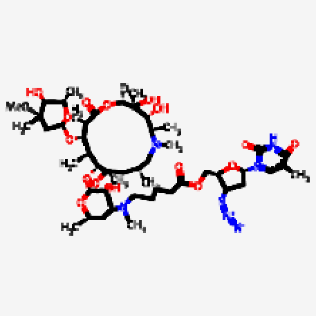 CC[C@H]1OC(=O)[C@H](C)[C@@H](O[C@H]2C[C@@](C)(OC)[C@@H](O)[C@H](C)O2)[C@H](C)[C@@H](O[C@@H]2O[C@H](C)CC(N(C)CCCCC(=O)OC[C@H]3O[C@@H](n4cc(C)c(=O)[nH]c4=O)CC3N=[N+]=[N-])[C@H]2O)[C@](C)(O)C[C@@H](C)CN(C)[C@H](C)[C@@H](O)[C@]1(C)O